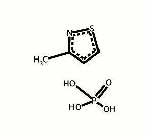 Cc1ccsn1.O=P(O)(O)O